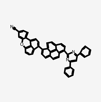 N#Cc1ccc2c(c1)Oc1cccc3c(-c4ccc5ccc6c(-c7nc(-c8ccccc8)cc(-c8ccccc8)n7)ccc7ccc4c5c76)ccc-2c13